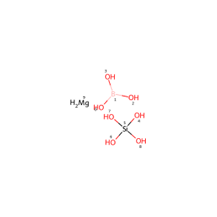 OB(O)O.O[Si](O)(O)O.[MgH2]